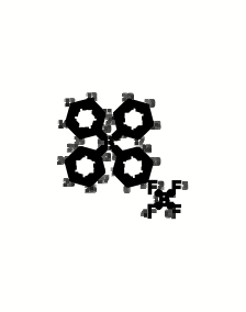 F[B-](F)(F)F.c1ccc([B-](c2ccccc2)(c2ccccc2)c2ccccc2)cc1